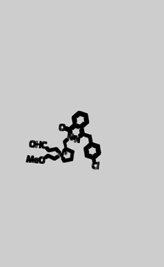 COCC[N+]1(CCC=O)CCC[C@@H]1Cn1nc(Cc2ccc(Cl)cc2)c2ccccc2c1=O